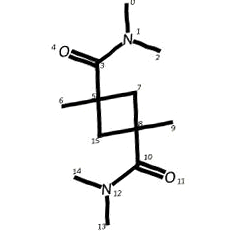 CN(C)C(=O)C1(C)CC(C)(C(=O)N(C)C)C1